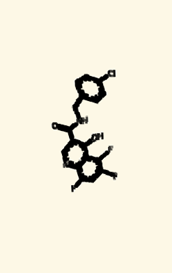 O=C(NCc1ccc(Cl)cc1)c1cnc2c(F)cc(F)c(F)c2c1O